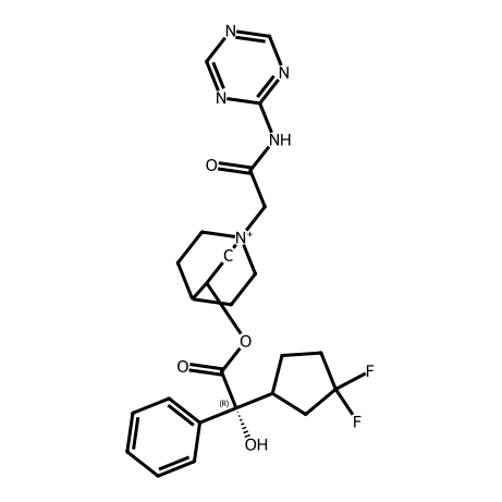 O=C(C[N+]12CCC(CC1)C(OC(=O)[C@](O)(c1ccccc1)C1CCC(F)(F)C1)C2)Nc1ncncn1